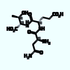 C[C@@H](O)[C@H](NC(=O)[C@H](CCC(=O)O)NC(=O)[C@@H](N)CC(N)=O)C(=O)O